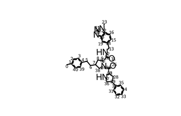 Cc1ccc(CCC2C[C@@H](C(=O)NCc3ccc4c(c3)nnn4C)N(C(=O)[C@H]3CC(c4ccccc4)CN3)C2)cc1